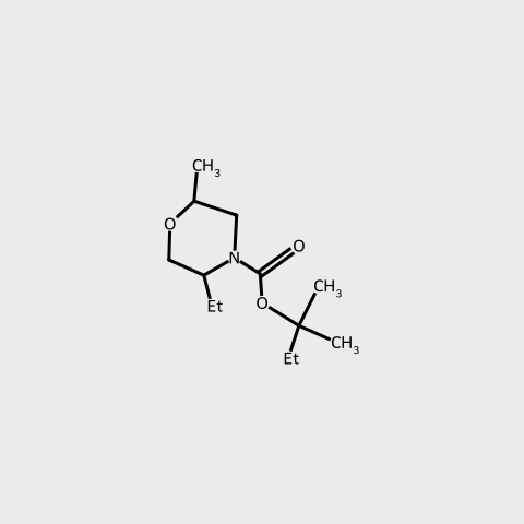 CCC1COC(C)CN1C(=O)OC(C)(C)CC